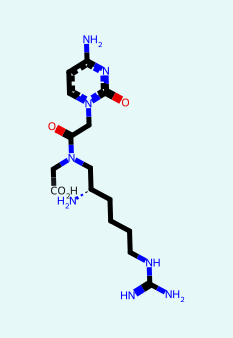 N=C(N)NCCCC[C@H](N)CN(CC(=O)O)C(=O)Cn1ccc(N)nc1=O